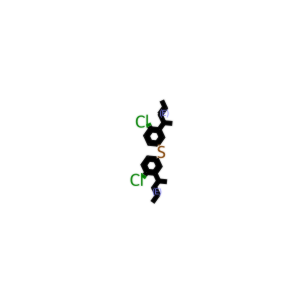 C/C=C/C(C)c1cc(Sc2ccc(Cl)c(C(C)/C=C/C)c2)ccc1Cl